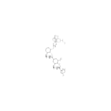 CCOC1(C)CN(Cc2cccc(F)c2CNc2cc(F)c(SNc3cscn3)c(F)c2)C1